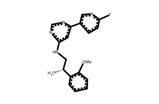 COc1ccccc1[C@H](C)CNc1cc(-c2ccc(F)nc2)ncn1